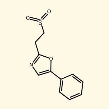 O=[SH](=O)CCc1ncc(-c2ccccc2)o1